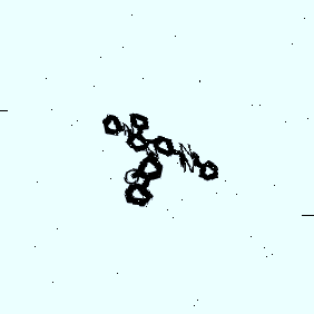 c1ccc(-c2cnc(-c3ccc4c5c6c7ccccc7n(-c7ccccc7)c6ccc5n(-c5ccc6c(c5)oc5ccccc56)c4c3)cn2)cc1